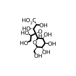 O=C(O)[C@H](O)[C@@H](O)[C@@](O)(C1O[C@H](CO)[C@@H](O)[C@H](O)[C@H]1O)[C@H](O)CO